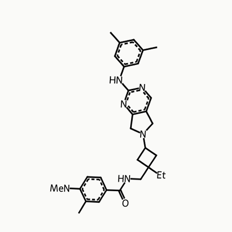 CCC1(CNC(=O)c2ccc(NC)c(C)c2)CC(N2Cc3cnc(Nc4cc(C)cc(C)c4)nc3C2)C1